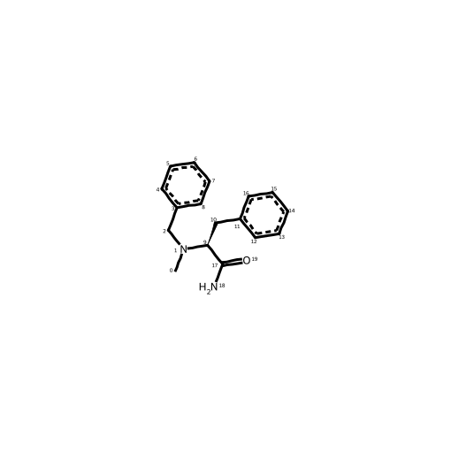 CN(Cc1ccccc1)[C@@H](Cc1ccccc1)C(N)=O